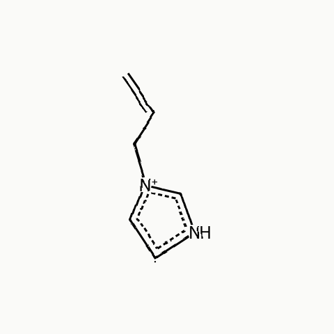 C=CC[n+]1c[c][nH]c1